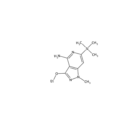 CCOc1nn(C)c2cc([Si](C)(C)C)nc(N)c12